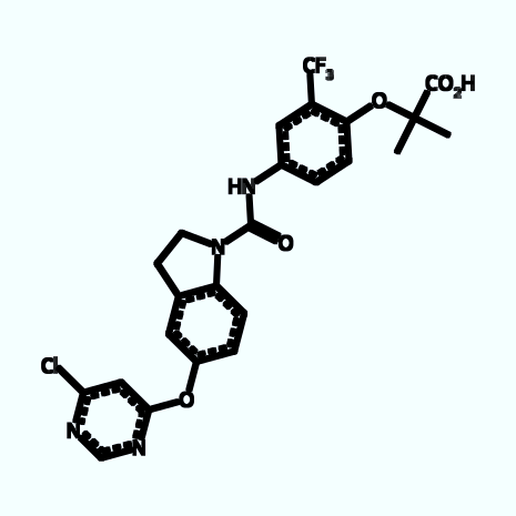 CC(C)(Oc1ccc(NC(=O)N2CCc3cc(Oc4cc(Cl)ncn4)ccc32)cc1C(F)(F)F)C(=O)O